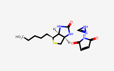 C1=NN1.O=C(O)CCCC[C@@H]1SC[C@@H]2NC(=O)N[C@@H]21.O=C1C=CC(=O)N1